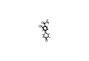 CN(C)C(=O)c1ccc(N2CCC(=O)CC2)cc1Cl